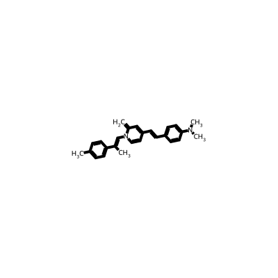 C=C1C=C(/C=C/c2ccc(N(C)C)cc2)C=CN1/C=C(\C)c1ccc(C)cc1